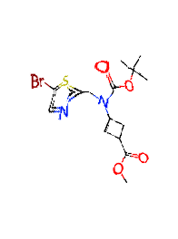 COC(=O)C1CC(N(C(=O)OC(C)(C)C)c2ncc(Br)s2)C1